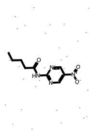 CCCCC(=O)Nc1ncc([N+](=O)[O-])cn1